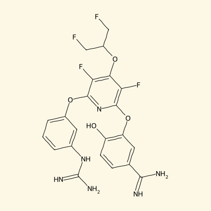 N=C(N)Nc1cccc(Oc2nc(Oc3cc(C(=N)N)ccc3O)c(F)c(OC(CF)CF)c2F)c1